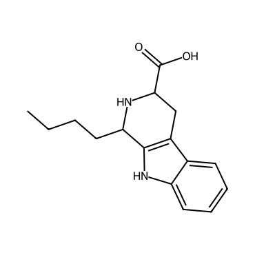 CCCCC1NC(C(=O)O)Cc2c1[nH]c1ccccc21